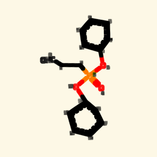 O=CCCP(=O)(Oc1ccccc1)Oc1ccccc1